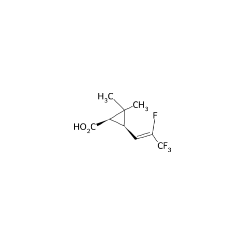 CC1(C)[C@H](C(=O)O)[C@@H]1/C=C(\F)C(F)(F)F